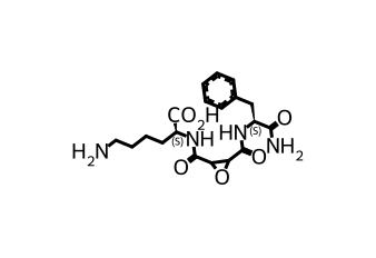 NCCCC[C@H](NC(=O)C1OC1C(=O)N[C@@H](Cc1ccccc1)C(N)=O)C(=O)O